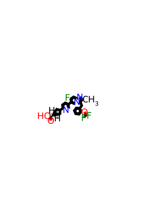 Cc1nc2cc(F)c(-c3ccc(C4C[C@@H]5[C@H](C4)[C@@H]5C(=O)O)nc3)cn2c1Cc1ccccc1OC(F)F